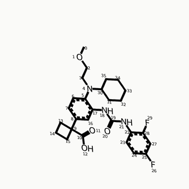 COCCN(c1ccc(C2(C(=O)O)CCC2)cc1NC(=O)Nc1ccc(F)cc1F)C1CCCCC1